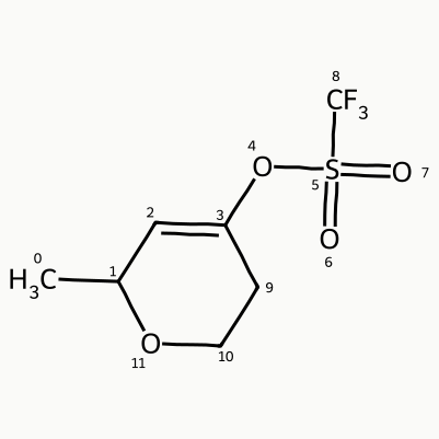 CC1C=C(OS(=O)(=O)C(F)(F)F)CCO1